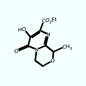 CCOC(=O)c1nc2n(c(=O)c1O)CCOC2C